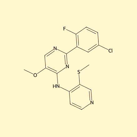 COc1cnc(-c2cc(Cl)ccc2F)nc1Nc1ccncc1SC